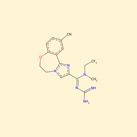 CN(CC(F)(F)F)/C(=N\C(=N)N)c1cn2c(n1)-c1cc(C#N)ccc1OCC2